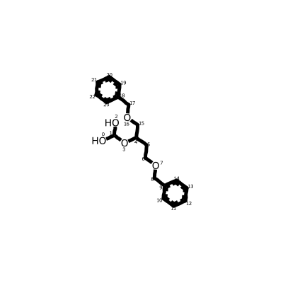 OC(O)OC(CCOCc1ccccc1)COCc1ccccc1